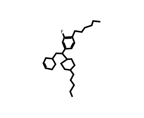 CCCCCCc1ccc(C(CC2CC=CCC2)C2CCC(CCCCC)CC2)cc1F